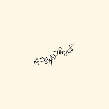 CO[C@H]1CCCN(C(=O)CNC(=O)c2ccc3c(c2)nc(Nc2nc4ccc(C(F)(F)F)cc4s2)n3C)C1